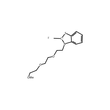 COCCOCCOCCn1c2ccccc2s[c+]1C.[I-]